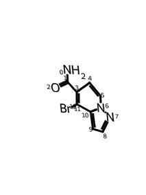 NC(=O)c1ccn2nccc2c1Br